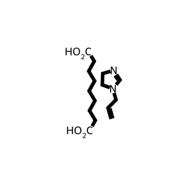 C=CCN1C=NCC1.O=C(O)CCCCCCCC(=O)O